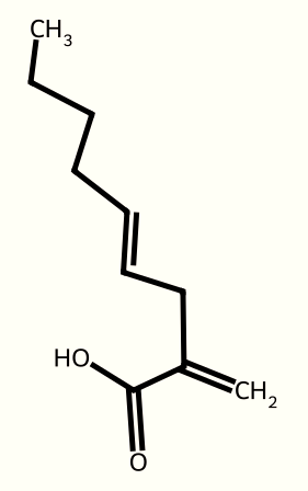 C=C(CC=CCCCC)C(=O)O